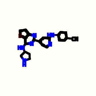 N#Cc1ccc(Nc2cc(-c3nc(N[C@@H]4CCNC4)c4sccc4n3)ccn2)cc1